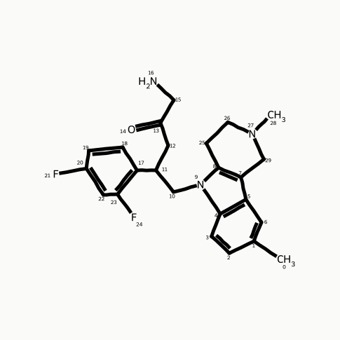 Cc1ccc2c(c1)c1c(n2CC(CC(=O)CN)c2ccc(F)cc2F)CCN(C)C1